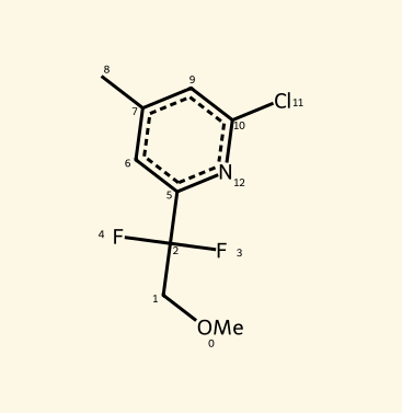 COCC(F)(F)c1cc(C)cc(Cl)n1